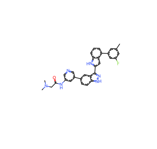 Cc1cc(F)cc(-c2cccc3[nH]c(-c4n[nH]c5ccc(-c6cncc(NC(=O)CN(C)C)c6)cc45)cc23)c1